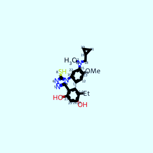 CCc1cc(-c2nnc(S)n2-c2ccc(OC)c(N(C)CC3CC3)c2)c(O)cc1O